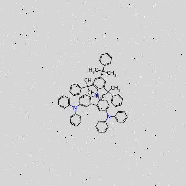 CC(C)(c1ccccc1)c1cc(C(C)(C)c2ccccc2)c(-n2c3ccc(N(c4ccccc4)c4ccccc4)cc3c3cc(N(c4ccccc4)c4ccccc4)ccc32)c(C(C)(C)c2ccccc2)c1